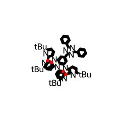 CC(C)(C)c1ccc2c(n1)c1nc(C(C)(C)C)ccc1n2-c1cc(-c2nc(-c3ccccc3)nc(-c3ccccc3)n2)cc(-n2c3ccc(C(C)(C)C)nc3c3nc(C(C)(C)C)ccc32)c1N(c1ccccc1)c1ccccc1